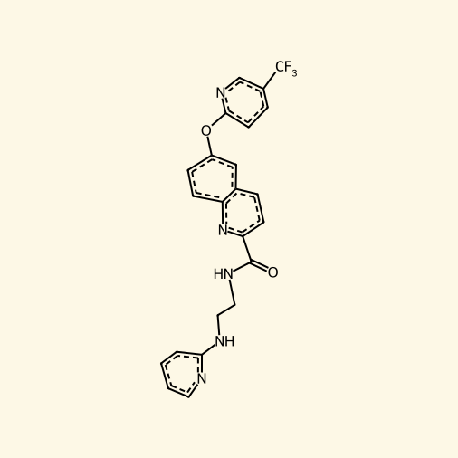 O=C(NCCNc1ccccn1)c1ccc2cc(Oc3ccc(C(F)(F)F)cn3)ccc2n1